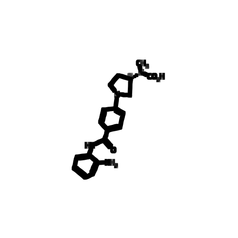 CN(C(=O)O)[C@H]1CCN(c2ccc(C(=O)Nc3ccccc3N)cc2)C1